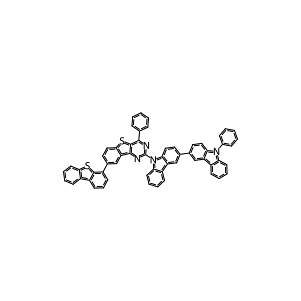 c1ccc(-c2nc(-n3c4ccccc4c4cc(-c5ccc6c(c5)c5ccccc5n6-c5ccccc5)ccc43)nc3c2sc2ccc(-c4cccc5c4sc4ccccc45)cc23)cc1